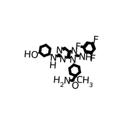 C[C@]1(C(N)=O)CC[C@H](n2c(Nc3c(F)cc(F)cc3F)nc3cnc(N[C@H]4CCC[C@H](O)C4)nc32)CC1